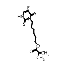 C=C(C)C(=O)OCCCCCCn1c(=S)[nH]cc(F)c1=S